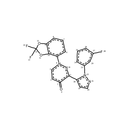 O=c1ccn(-c2cccc3c2OC(F)(F)O3)nc1-c1ccnn1-c1cccc(F)c1